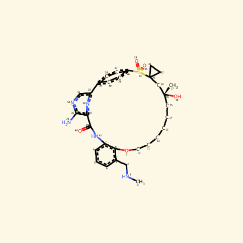 CNCc1cccc2c1OCCCCCC[C@@](C)(O)CC1(CC1)S(=O)(=O)c1ccc(cc1)-c1cnc(N)c(n1)C(=O)N2